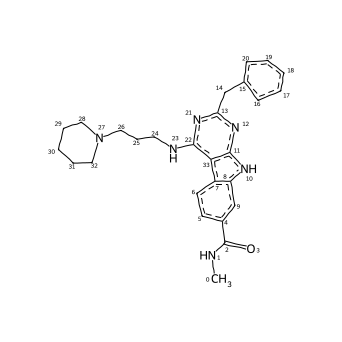 CNC(=O)c1ccc2c(c1)[nH]c1nc(Cc3ccccc3)nc(NCCCN3CCCCC3)c12